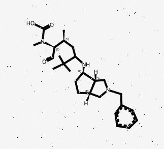 C[C@@H](CC(N[C@@H]1CC[C@H]2CN(Cc3ccccc3)C[C@H]21)C(C)(C)C)[C@@H](C=O)N(C)C(=O)O